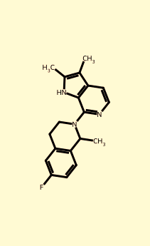 Cc1[nH]c2c(N3CCc4cc(F)ccc4C3C)nccc2c1C